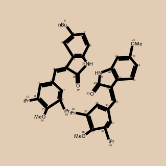 CCCCc1ccc2c(c1)/C(=C/c1cc(C(C)C)c(OC)c(C(C)C)c1)C(=O)N2.COc1ccc2c(c1)NC(=O)/C2=C\c1cc(C(C)C)c(OC)c(C(C)C)c1